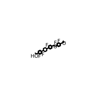 CC(O)c1ccc(C2CCC(c3ccc(COc4ccc(C5CO5)c(F)c4F)cc3F)CC2)c(F)c1F